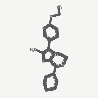 Cc1nc2c(-c3ccncc3)nccn2c1-c1ccc(OCC(F)(F)F)nc1